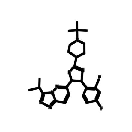 CC(C)c1nnc2ccc(C3SC(C4CCN(C(C)(C)C)CC4)=NC3c3ccc(F)cc3F)nn12